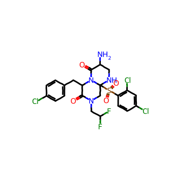 NC1CNC2(S(=O)(=O)c3ccc(Cl)cc3Cl)CN(CC(F)F)C(=O)C(Cc3ccc(Cl)cc3)N2C1=O